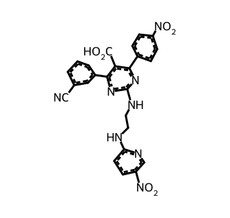 N#Cc1cccc(-c2nc(NCCNc3ccc([N+](=O)[O-])cn3)nc(-c3ccc([N+](=O)[O-])cc3)c2C(=O)O)c1